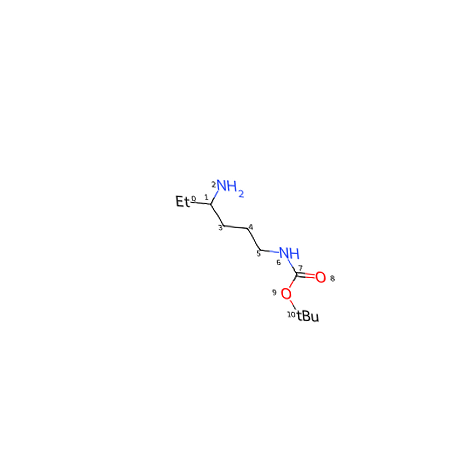 CCC(N)CCCNC(=O)OC(C)(C)C